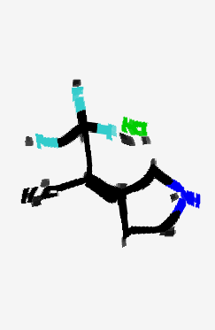 C/C(=C1\CCNC1)C(F)(F)F.Cl